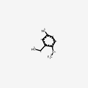 N#Cc1ccc(OC(F)(F)F)c([CH]O)c1